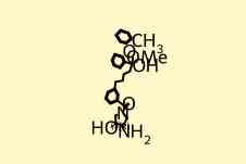 COC(O)(CCCCc1cccc(C(=O)N2C[C@@H](N)[C@@H](O)C2)c1)c1ccccc1Oc1ccccc1C